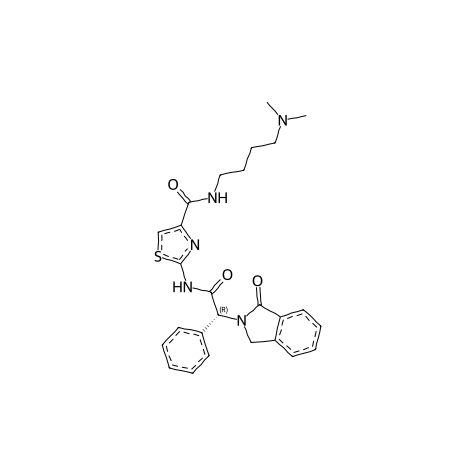 CN(C)CCCCNC(=O)c1csc(NC(=O)[C@@H](c2ccccc2)N2Cc3ccccc3C2=O)n1